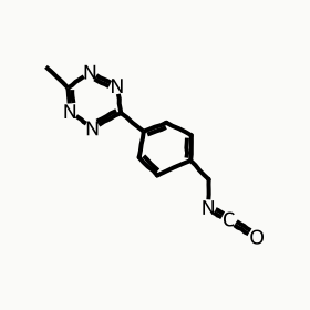 Cc1nnc(-c2ccc(CN=C=O)cc2)nn1